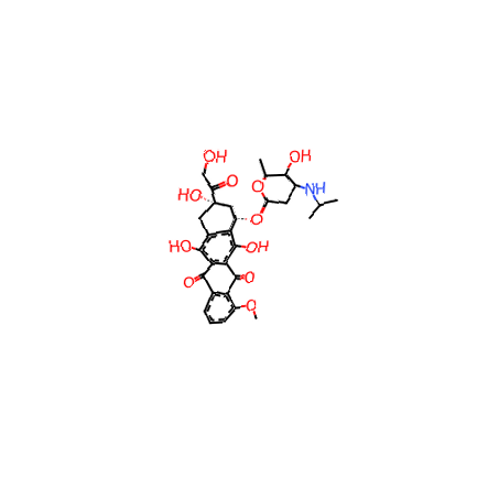 COc1cccc2c1C(=O)c1c(O)c3c(c(O)c1C2=O)C[C@@](O)(C(=O)CO)C[C@@H]3OC1CC(NC(C)C)C(O)C(C)O1